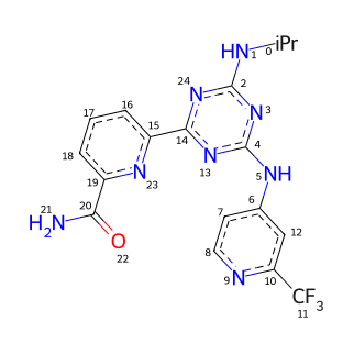 CC(C)Nc1nc(Nc2ccnc(C(F)(F)F)c2)nc(-c2cccc(C(N)=O)n2)n1